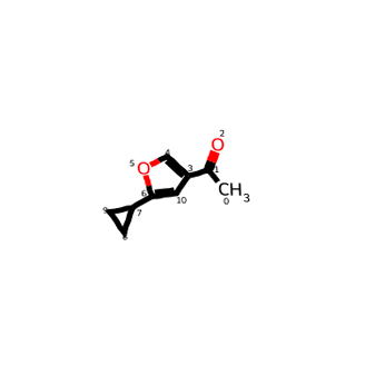 CC(=O)c1coc(C2CC2)c1